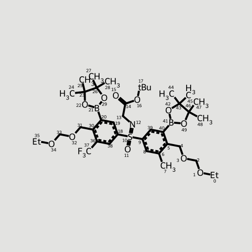 CCOCOCc1c(C)cc(S(=O)(=NCC(=O)OC(C)(C)C)c2cc(B3OC(C)(C)C(C)(C)O3)c(COCOCC)c(C(F)(F)F)c2)cc1B1OC(C)(C)C(C)(C)O1